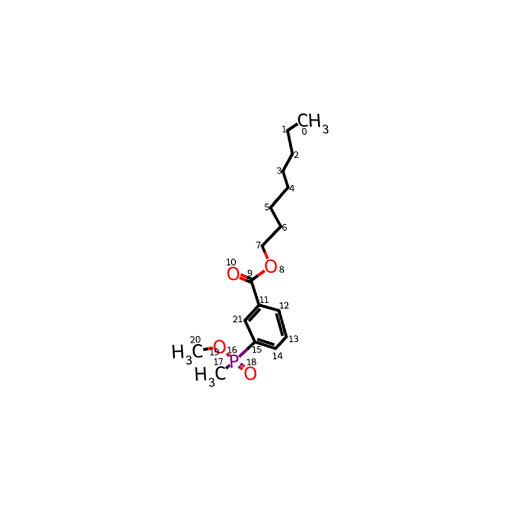 CCCCCCCCOC(=O)c1cccc(P(C)(=O)OC)c1